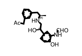 CC(=O)Cc1cccc(C[C@@H](C)NC[C@H](O)c2ccc(O)c(NC=O)c2)c1